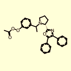 CC(=O)OOc1cccc(C(C)N2CCC[C@@H]2c2nc(-c3ccccc3)c(-c3ccccc3)o2)c1